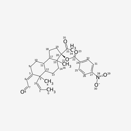 C/C=C\C1(C)/C(=C\C=O)CCC2C1CCC1(C)C2CC[C@]1(OC(=O)c1ccc([N+](=O)[O-])cc1)C(C)=O